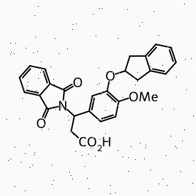 COc1ccc(C(CC(=O)O)N2C(=O)c3ccccc3C2=O)cc1OC1Cc2ccccc2C1